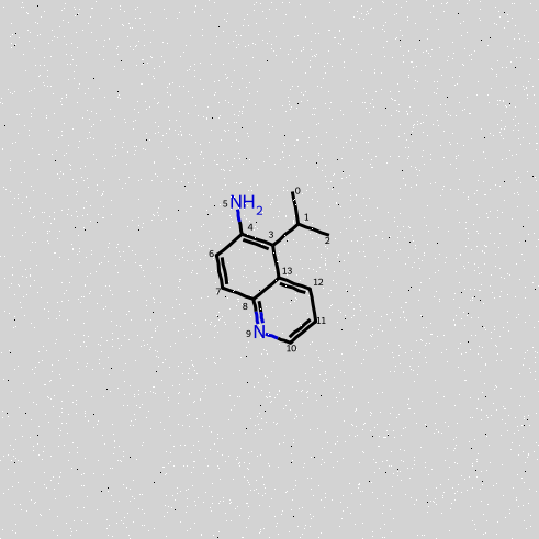 CC(C)c1c(N)ccc2ncccc12